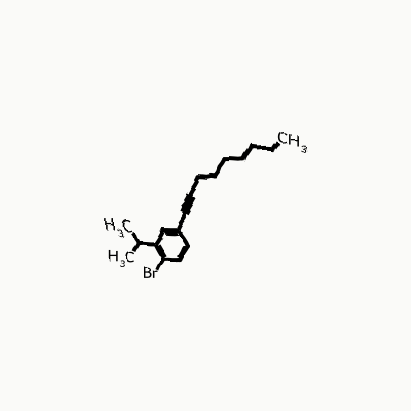 CCCCCCCC#Cc1ccc(Br)c(C(C)C)c1